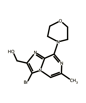 Cc1cn2c(Br)c(CO)nc2c(N2CCOCC2)n1